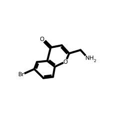 NCc1cc(=O)c2cc(Br)ccc2o1